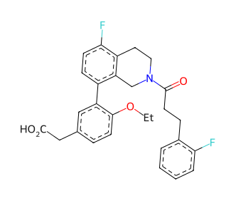 CCOc1ccc(CC(=O)O)cc1-c1ccc(F)c2c1CN(C(=O)CCc1ccccc1F)CC2